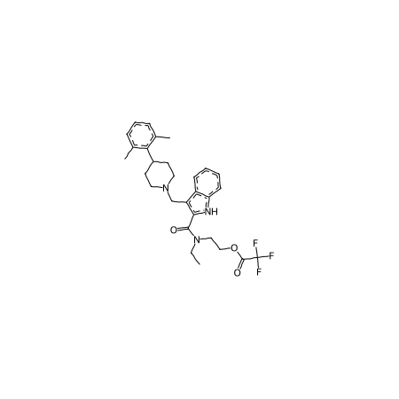 CCN(CCOC(=O)C(F)(F)F)C(=O)c1[nH]c2ccccc2c1CN1CCC(c2c(C)cccc2C)CC1